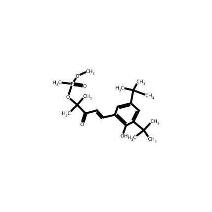 COP(C)(=O)OC(C)(C)C(=O)C=Cc1cc(C(C)(C)C)cc(C(C)(C)C)c1O